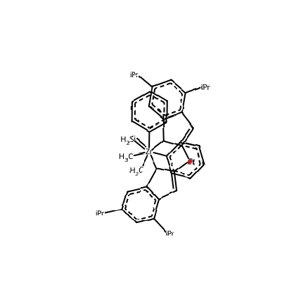 CCC1=Cc2c(C(C)C)cc(C(C)C)cc2[CH]1[Zr]([CH3])([CH3])(=[SiH2])([c]1ccccc1)([c]1ccccc1)[CH]1C(CC)=Cc2c(C(C)C)cc(C(C)C)cc21